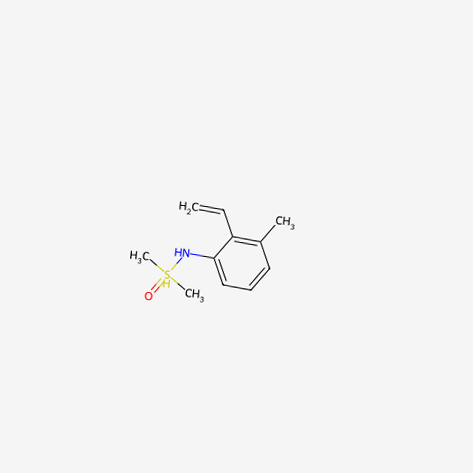 C=Cc1c(C)cccc1N[SH](C)(C)=O